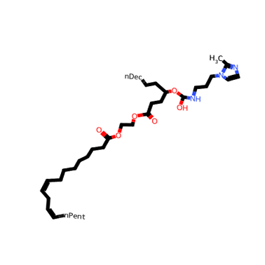 CCCCC/C=C\C/C=C\CCCCCCCC(=O)OCCOC(=O)CCC(CCCCCCCCCCCC)OC(O)NCCCn1ccnc1C